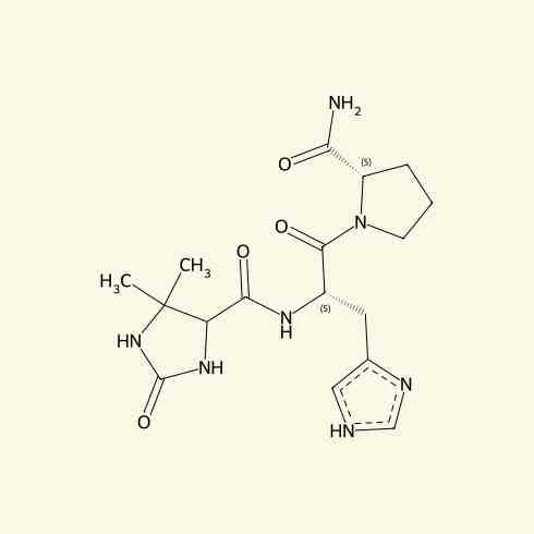 CC1(C)NC(=O)NC1C(=O)N[C@@H](Cc1c[nH]cn1)C(=O)N1CCC[C@H]1C(N)=O